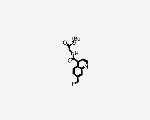 CC(C)(C)OC(=O)CNC(=O)c1ccnc2cc(CF)ccc12